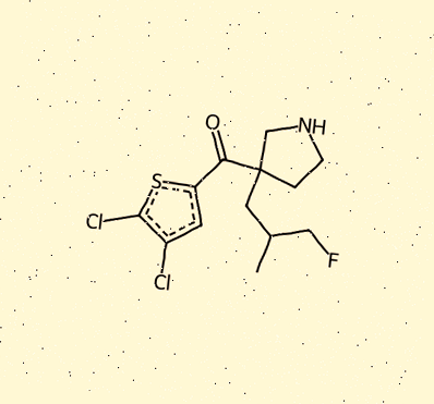 CC(CF)CC1(C(=O)c2cc(Cl)c(Cl)s2)CCNC1